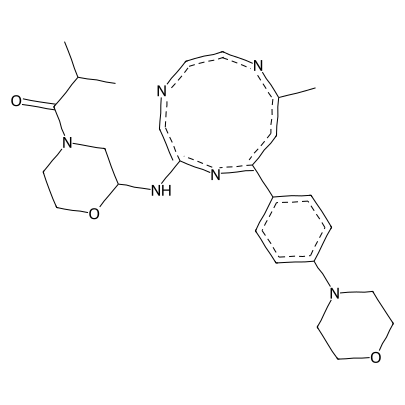 Cc1cc(-c2ccc(N3CCOCC3)cc2)nc(NC2CN(C(=O)C(C)C)CCO2)cnccn1